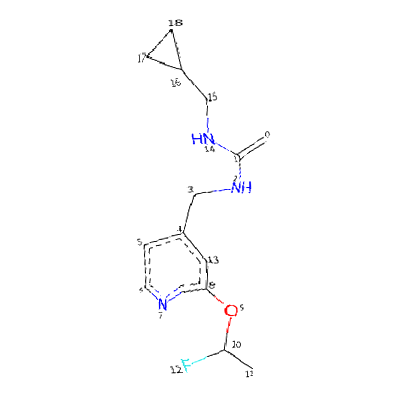 C=C(NCc1ccnc(OC(C)F)c1)NCC1CC1